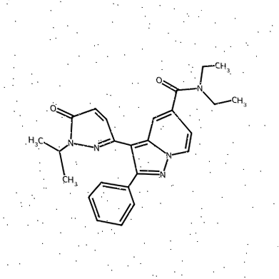 CCN(CC)C(=O)c1ccn2nc(-c3ccccc3)c(-c3ccc(=O)n(C(C)C)n3)c2c1